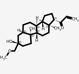 C=CC(=O)[C@H]1CC[C@H]2[C@@H]3CC[C@@H]4C[C@@](O)(COC)CC[C@]4(C)[C@H]3CC[C@]12C